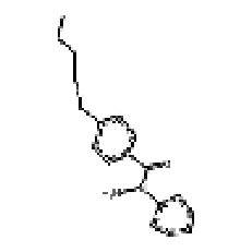 CCCCCCc1ccc(C(=O)N(N)c2ccccc2)cc1